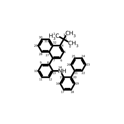 CC(C)(C)c1ccc(-c2ccccc2Nc2ccccc2-c2ccccc2)c2ccccc12